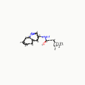 CCOC(=O)CC(=O)Nc1cnc2ccccc2c1